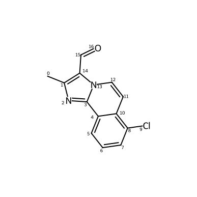 Cc1nc2c3cccc(Cl)c3ccn2c1C=O